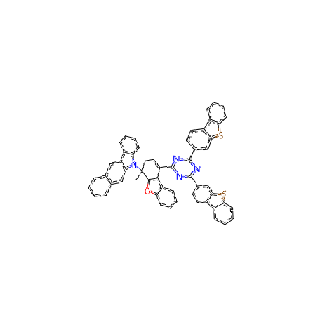 CC1(n2c3ccccc3c3cc4ccccc4cc32)CC=C(c2nc(-c3ccc4c(c3)sc3ccccc34)nc(-c3ccc4c(c3)sc3ccccc34)n2)c2c1oc1ccccc21